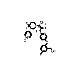 C[C@@H](C(=O)Nc1ccc(Oc2ccc(F)cc2CO)cn1)N1CCC(F)(F)[C@@H](c2cc[n+]([O-])cc2)C1